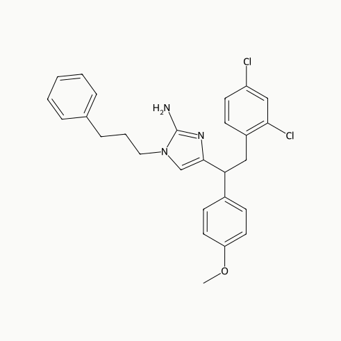 COc1ccc(C(Cc2ccc(Cl)cc2Cl)c2cn(CCCc3ccccc3)c(N)n2)cc1